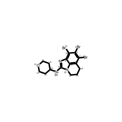 Brc1c(Br)c2c3c(nc(NC4CCOCC4)n3CCC2)c1Br